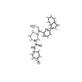 CCN(c1nccc(-n2cnc3ccccc32)n1)C1CCCN(C(=O)Nc2ccc(Cl)cc2)C1